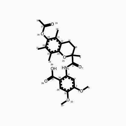 COc1cc(NC(=O)C2(C)CCc3c(C)c(OC(C)=O)c(C)c(C)c3O2)c(C(=O)O)cc1OC